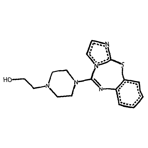 OCCN1CCN(C2=Nc3ccccc3Sc3nccn32)CC1